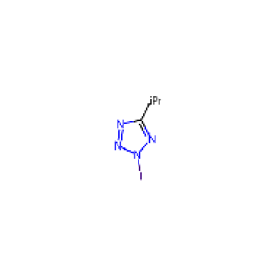 CC(C)c1nnn(I)n1